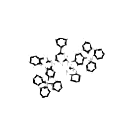 C1=CC2N=C3N(c4nc(-c5ccccc5)cc(-n5c6ccc([Si](c7ccccc7)(c7ccccc7)c7ccccc7)cc6n6c7ccccc7nc56)n4)c4ccc([Si](c5ccccc5)(c5ccccc5)c5ccccc5)cc4N3C2C=C1